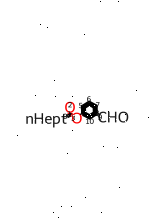 CCCCCCCC(=O)Oc1cccc(C=O)c1